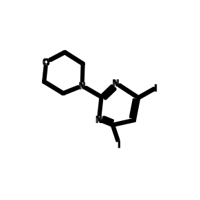 Ic1cc(I)nc(N2CCOCC2)n1